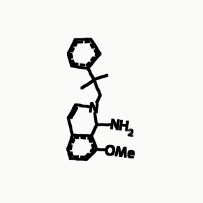 COc1cccc2c1C(N)N(CC(C)(C)c1ccccc1)C=C2